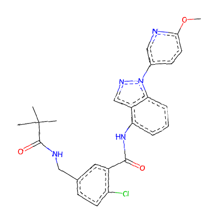 COc1ccc(-n2ncc3c(NC(=O)c4cc(CNC(=O)C(C)(C)C)ccc4Cl)cccc32)cn1